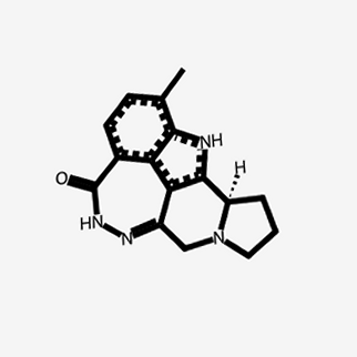 Cc1ccc2c3c4c([nH]c13)[C@H]1CCCN1CC4=NNC2=O